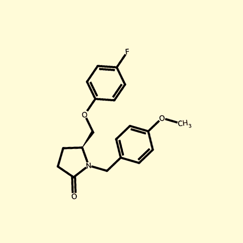 COc1ccc(CN2C(=O)CC[C@H]2COc2ccc(F)cc2)cc1